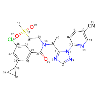 CC(c1ncnn1-c1ccc(C#N)cn1)N(CCS(C)(=O)=O)C(=O)c1cc(Cl)cc(C2CC2)c1